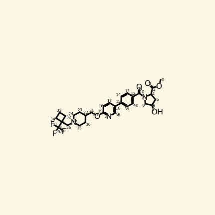 COC(=O)C1CC(O)CN1C(=O)c1ccc(-c2ccc(OCC3CCN(CC4(C(F)(F)F)CCC4)CC3)nc2)cc1